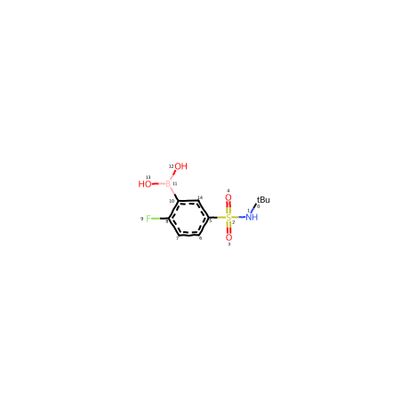 CC(C)(C)NS(=O)(=O)c1ccc(F)c(B(O)O)c1